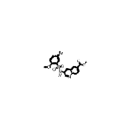 COC(=O)c1ccc2ncc(NS(=O)(=O)c3cc(Br)ccc3OC)cc2c1